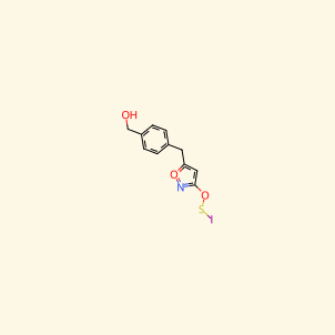 OCc1ccc(Cc2cc(OSI)no2)cc1